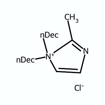 CCCCCCCCCC[N+]1(CCCCCCCCCC)C=CN=C1C.[Cl-]